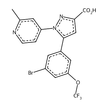 Cc1cc(-n2nc(C(=O)O)cc2-c2cc(Br)cc(OC(F)(F)F)c2)ccn1